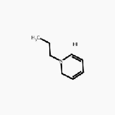 CCCN1C=CC=CC1.I